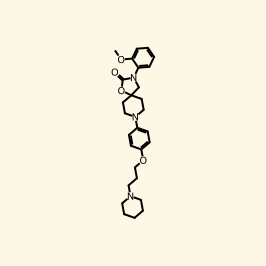 COc1ccccc1N1CC2(CCN(c3ccc(OCCCN4CCCCC4)cc3)CC2)OC1=O